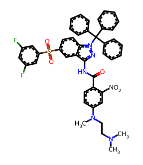 CN(C)CCN(C)c1ccc(C(=O)Nc2nn(C(c3ccccc3)(c3ccccc3)c3ccccc3)c3ccc(S(=O)(=O)c4cc(F)cc(F)c4)cc23)c([N+](=O)[O-])c1